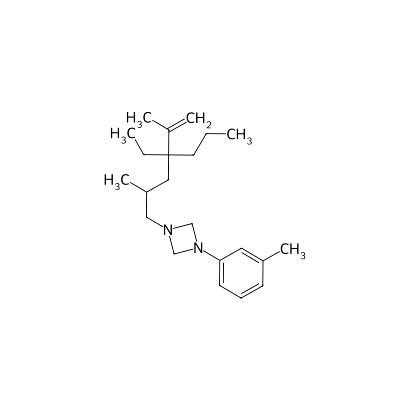 C=C(C)C(CC)(CCC)CC(C)CN1CN(c2cccc(C)c2)C1